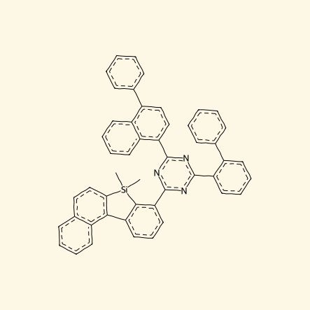 C[Si]1(C)c2ccc3ccccc3c2-c2cccc(-c3nc(-c4ccccc4-c4ccccc4)nc(-c4ccc(-c5ccccc5)c5ccccc45)n3)c21